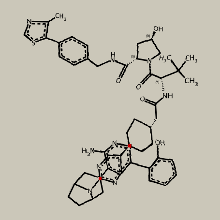 Cc1ncsc1-c1ccc(CNC(=O)[C@@H]2C[C@@H](O)CN2C(=O)[C@@H](NC(=O)C[C@H]2CC[C@H](c3cnc(N4C5CCC4CN(c4cc(-c6ccccc6O)nnc4N)C5)nc3)CC2)C(C)(C)C)cc1